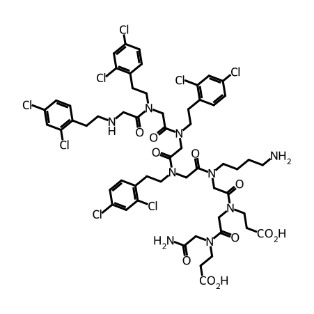 NCCCCN(CC(=O)N(CCC(=O)O)CC(=O)N(CCC(=O)O)CC(N)=O)C(=O)CN(CCc1ccc(Cl)cc1Cl)C(=O)CN(CCc1ccc(Cl)cc1Cl)C(=O)CN(CCc1ccc(Cl)cc1Cl)C(=O)CNCCc1ccc(Cl)cc1Cl